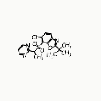 CC(c1ncccn1)S(=O)(=O)c1c(Cl)ccc2nc(C(C)(C)C)oc12